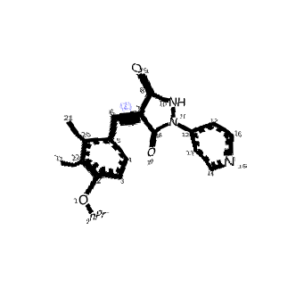 CCCOc1ccc(/C=C2/C(=O)NN(c3ccncc3)C2=O)c(C)c1C